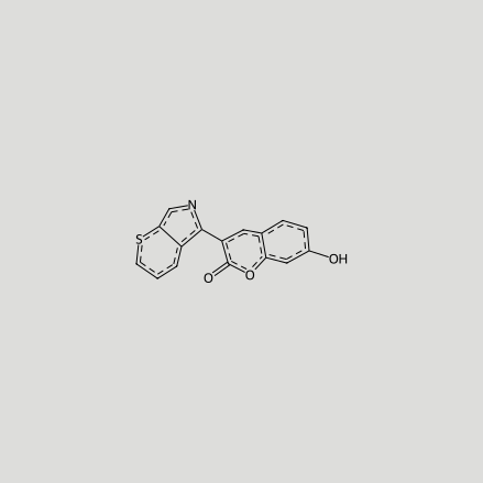 O=c1oc2cc(O)ccc2cc1-c1ncc2scccc1-2